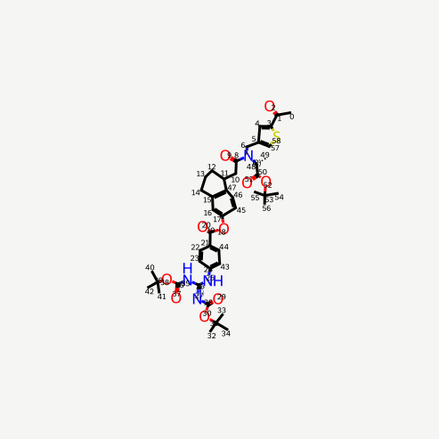 CC(=O)c1cc(CN(C(=O)CC2CCCc3cc(OC(=O)c4ccc(N/C(=N\C(=O)OC(C)(C)C)NC(=O)OC(C)(C)C)cc4)ccc32)[C@H](C)C(=O)OC(C)(C)C)cs1